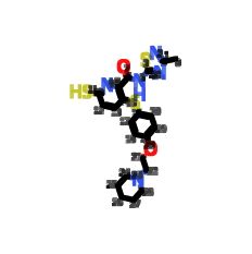 Cc1nsc(NC(=O)c2nc(S)ccc2Sc2ccc(OCCN3CCCCC3)cc2)n1